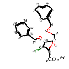 O=C(O)C1O[C@H](COCc2ccccc2)[C@@H](OCc2ccccc2)[C@@H]1F